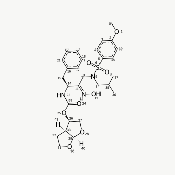 COc1ccc(S(=O)(=O)N(CC(=NO)[C@H](Cc2ccccc2)NC(=O)O[C@H]2CO[C@H]3OCC[C@H]32)CC(C)C)cc1